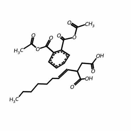 CC(=O)OC(=O)c1ccccc1C(=O)OC(C)=O.CCCCCCC=CC(CC(=O)O)C(=O)O